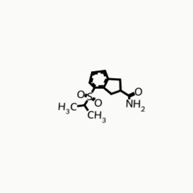 CC(C)S(=O)(=O)c1cccc2c1CC(C(N)=O)C2